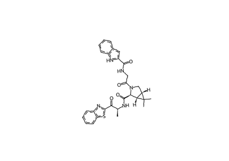 C[C@H](NC(=O)[C@@H]1[C@@H]2[C@H](CN1C(=O)CNC(=O)c1cc3ccccc3[nH]1)C2(C)C)C(=O)c1nc2ccccc2s1